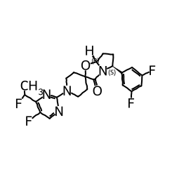 CC(F)c1nc(N2CCC3(CC2)O[C@@H]2CC[C@@H](c4cc(F)cc(F)c4)N2C3=O)ncc1F